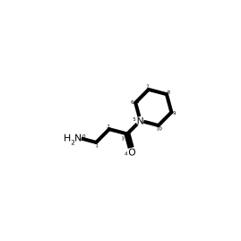 NCCC(=O)N1[CH]CCCC1